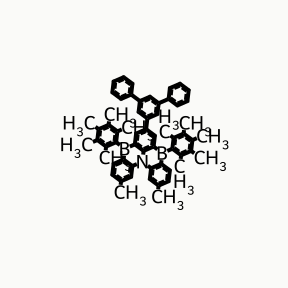 Cc1ccc2c(c1)N1c3cc(C)ccc3B(c3c(C)c(C)c(C)c(C)c3C)c3cc(-c4cc(-c5ccccc5)cc(-c5ccccc5)c4)cc(c31)B2c1c(C)c(C)c(C)c(C)c1C